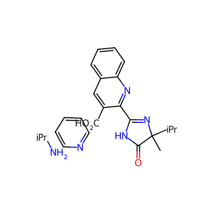 CC(C)C1(C)N=C(c2nc3ccccc3cc2C(=O)O)NC1=O.CC(C)N.c1ccncc1